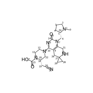 CN1CCC[C@H]1Cn1c2c(c(N3CCN(C(=O)O)[C@@H](CC#N)C3)nc1=O)CC1(CC1)NC2